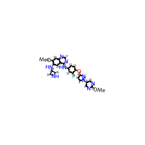 COc1ncc(-n2ccc(Oc3ccc(Nc4ncnc5cc(OC)c(NC6CNC6)cc45)cc3F)n2)cn1